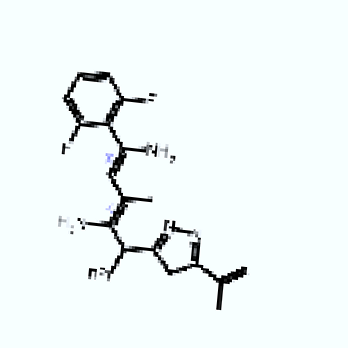 C=C(C)C1=NN=C(C(CCC)/C(N)=C(C)/C=C(\N)c2c(F)cccc2F)C1